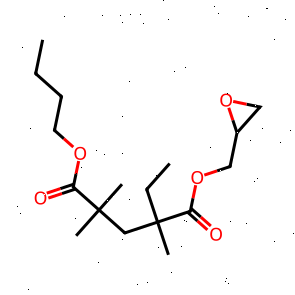 CCCCOC(=O)C(C)(C)CC(C)(CC)C(=O)OCC1CO1